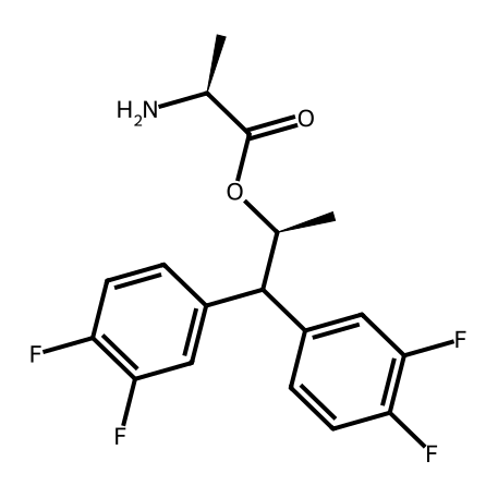 C[C@H](N)C(=O)O[C@@H](C)C(c1ccc(F)c(F)c1)c1ccc(F)c(F)c1